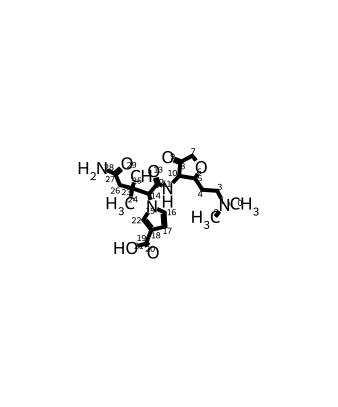 CN(C)CCC1OCC(=O)C1NC(=O)C(n1ccc(C(=O)O)c1)C(C)(C)CC(N)=O